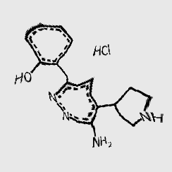 Cl.Nc1nnc(-c2ccccc2O)cc1C1CCNC1